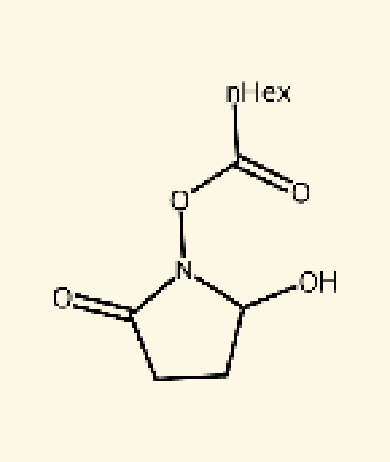 CCCCCCC(=O)ON1C(=O)CCC1O